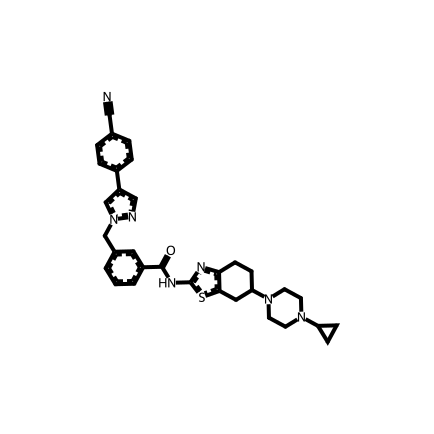 N#Cc1ccc(-c2cnn(Cc3cccc(C(=O)Nc4nc5c(s4)CC(N4CCN(C6CC6)CC4)CC5)c3)c2)cc1